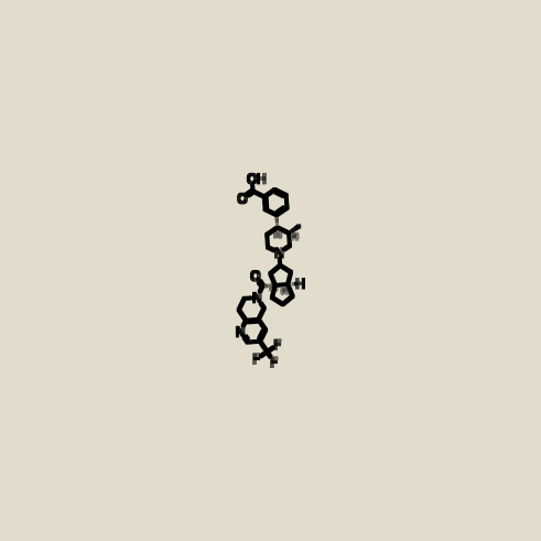 C[C@H]1CN(C2C[C@H]3CCC[C@@]3(C(=O)N3CCc4ncc(C(F)(F)F)cc4C3)C2)CC[C@@H]1c1cccc(C(=O)O)c1